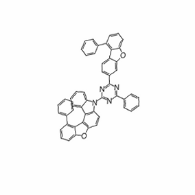 c1ccc(-c2nc(-c3ccc4c(c3)oc3cccc(-c5ccccc5)c34)nc(-n3c4ccccc4c4c5c(ccc43)oc3cccc(-c4ccccc4)c35)n2)cc1